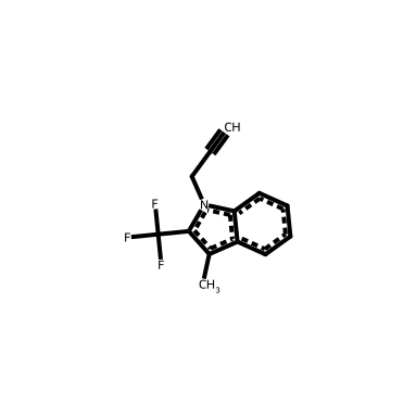 C#CCn1c(C(F)(F)F)c(C)c2ccccc21